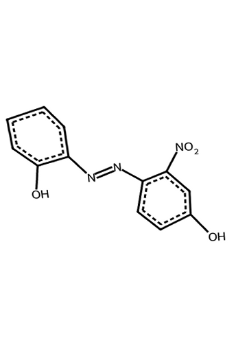 O=[N+]([O-])c1cc(O)ccc1N=Nc1ccccc1O